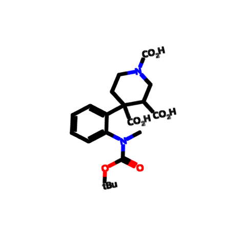 CN(C(=O)OC(C)(C)C)c1ccccc1C1(C(=O)O)CCN(C(=O)O)CC1C(=O)O